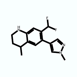 CC1CCNc2cc(C(F)F)c(-c3cnn(C)c3)cc21